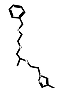 CC(COCCOCc1ccccc1)OCCn1cc(Br)cn1